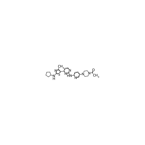 CC(=O)N1CCN(c2ccc(Nc3nccc(-c4sc(NC5CCCC5)nc4C)n3)nc2)CC1